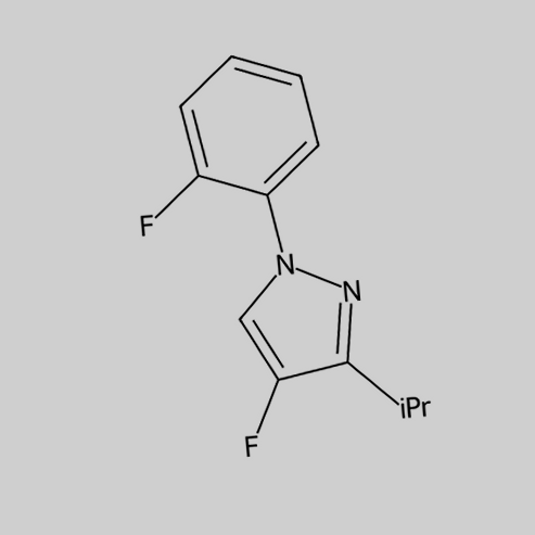 CC(C)c1nn(-c2ccccc2F)cc1F